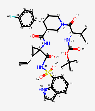 C=C[C@@H]1C[C@]1(NC(=O)[C@@H]1CN(C(=O)[C@@H](NC(=O)OC(C)(C)C)C(C)C)CC[C@H]1c1ccc(F)cc1)C(=O)NS(=O)(=O)c1cccc2cc[nH]c12